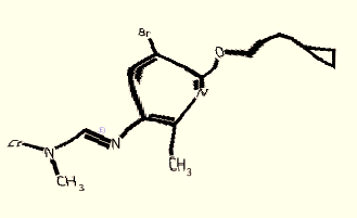 CCN(C)/C=N/c1cc(Br)c(OCCC2CC2)nc1C